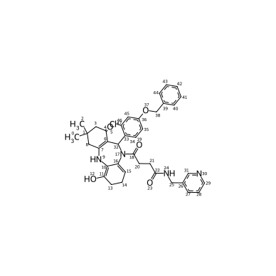 CC1(C)CC(=O)C2=C(C1)NC1=C(O)CCC=C1N(C(=O)CCC(=O)NCc1cccnc1)C2c1ccc(OCc2ccccc2)cc1Cl